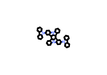 c1ccc2c(c1)c1ccccc1n2-c1ccc2c(c1)c1c3c4ccccc4n4c5ccc(-n6c7ccccc7c7ccccc76)cc5c(c5c6ccccc6n2c51)c34